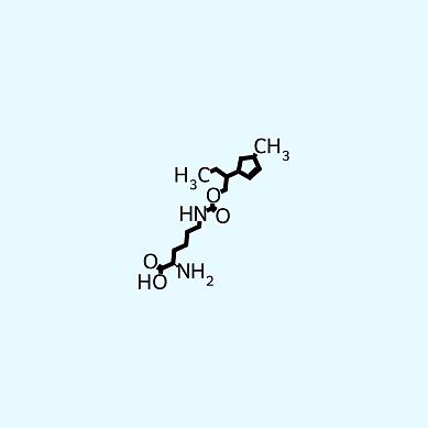 CCC(COC(=O)NCCCC[C@H](N)C(=O)O)C1C=CC(C)C1